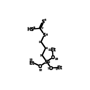 CCO[Si](CCCSC(=S)S)(OCC)OCC